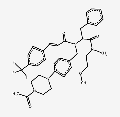 COCCN(C)C(=O)C(Cc1ccccc1)N(Cc1ccc(N2CCN(C(C)=O)CC2)cc1)C(=O)C=Cc1ccc(C(F)(F)F)cc1